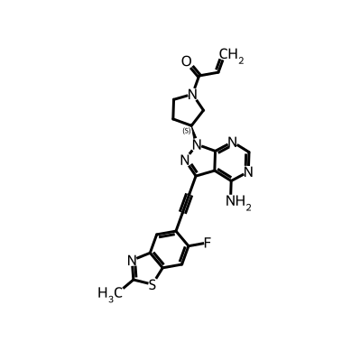 C=CC(=O)N1CC[C@H](n2nc(C#Cc3cc4nc(C)sc4cc3F)c3c(N)ncnc32)C1